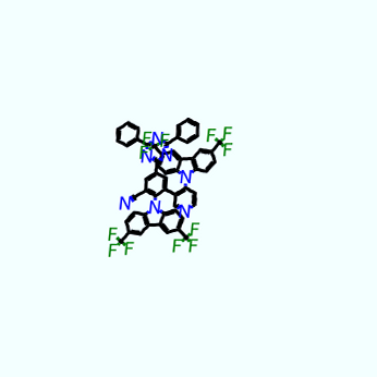 N#Cc1cc(-c2nc(-c3ccccc3)nc(-c3ccccc3)n2)cc(-c2cnccc2-n2c3ccc(C(F)(F)F)cc3c3cc(C(F)(F)F)ccc32)c1-n1c2ccc(C(F)(F)F)cc2c2cc(C(F)(F)F)ccc21